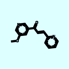 COc1cncc(C(=O)/C=C/c2ccccn2)c1